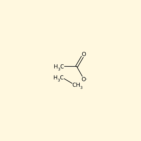 CC.CC([O])=O